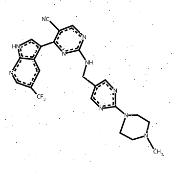 CN1CCN(c2ncc(CNc3ncc(C#N)c(-c4c[nH]c5ncc(C(F)(F)F)cc45)n3)cn2)CC1